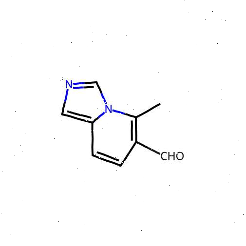 Cc1c(C=O)ccc2cncn12